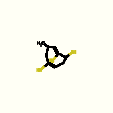 CC1/C=C(\S)C(S)C/C=C(/S)C1